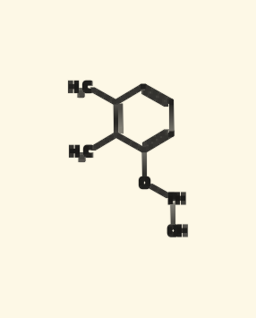 Cc1cccc(OPO)c1C